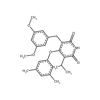 COc1cc(Cn2c(Oc3cc(C)cc(C)c3)c(C(C)C)c(=O)[nH]c2=O)cc(OC)c1